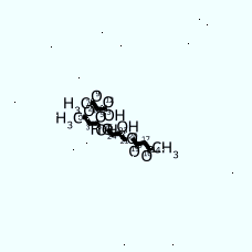 CC(=O)CC(=O)O.CC(=O)CC(=O)O.CC(=O)CC(=O)OCC(O)CO